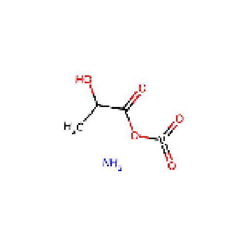 CC(O)C(=O)[O][V](=[O])=[O].N